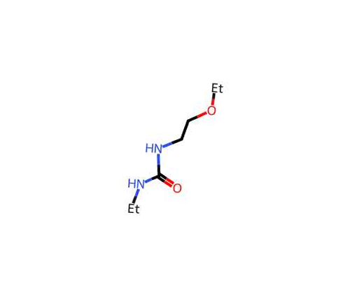 [CH2]CNC(=O)NCCOCC